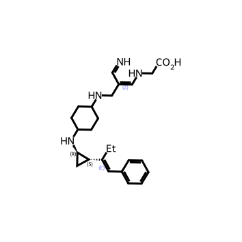 CC/C(=C\c1ccccc1)[C@@H]1C[C@H]1NC1CCC(NC/C(C=N)=C/NCC(=O)O)CC1